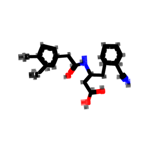 Cc1ccc(CC(=O)NC(CC(=O)O)Cc2ccccc2C#N)cc1C